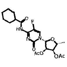 CC(=O)O[C@@H]1[C@H](OC(C)=O)[C@@H](C)O[C@H]1n1cc(F)c(NC(=O)C2CCCCC2)nc1=O